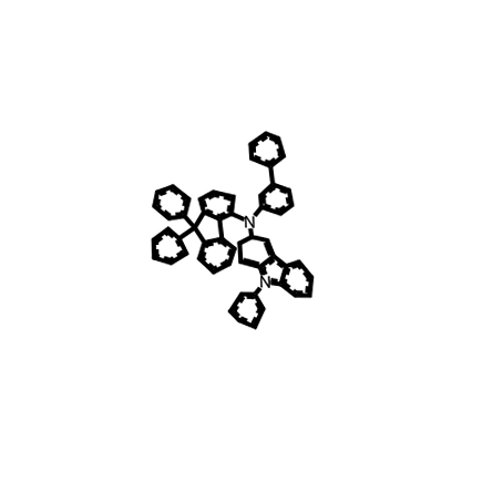 C1=c2c(n(-c3ccccc3)c3ccccc23)=CCC1N(c1cccc(-c2ccccc2)c1)c1cccc2c1-c1ccccc1C2(c1ccccc1)c1ccccc1